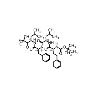 CC(C)CC(NC(=O)[C@H](Cc1ccccc1)NC(=O)[C@H](CC(C)C)NC(=O)[C@H](CCc1ccccc1)NC(=O)OC(C)(C)C)C(=O)C1(C)CO1